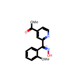 COC(=O)c1ccnc(/C(=N/O)c2ccccc2OC)c1